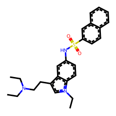 CCN(CC)CCc1cn(CC)c2ccc(NS(=O)(=O)c3ccc4ccccc4c3)cc12